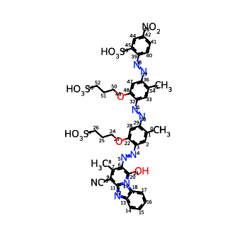 Cc1cc(N=Nc2c(C)c(C#N)c3nc4ccccc4n3c2O)c(OCCCS(=O)(=O)O)cc1N=Nc1cc(C)c(N=Nc2ccc([N+](=O)[O-])cc2S(=O)(=O)O)cc1OCCCS(=O)(=O)O